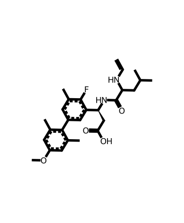 C=CNC(CC(C)C)C(=O)N[C@@H](CC(=O)O)c1cc(-c2c(C)cc(OC)cc2C)cc(C)c1F